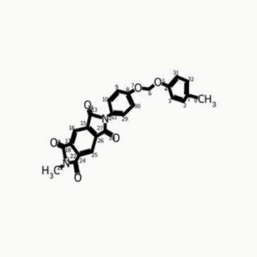 Cc1ccc(OCOc2ccc(-n3c(=O)c4cc5c(=O)n(C)c(=O)c5cc4c3=O)cc2)cc1